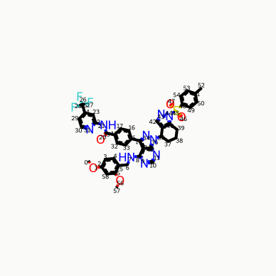 COc1ccc(CNc2ncnc3c2c(-c2ccc(C(=O)Nc4cc(C(F)(F)F)ccn4)cc2)nn3C2CCCc3c2cnn3S(=O)(=O)c2ccc(C)cc2)c(OC)c1